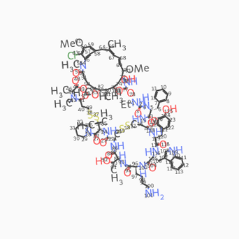 CCNC(=O)N[C@H](Cc1ccccc1)C(=O)N[C@H]1CSSC[C@@H](C(=O)N[C@H](C(=O)N2CCCCC2)C(C)(C)SSCCC(=O)N(C)[C@@H](C)C(=O)O[C@H]2CC(=O)N(C)c3cc(cc(OC)c3Cl)C/C(C)=C/C=C/[C@@H](OC)[C@@]3(O)C[C@H](OC(=O)N3)[C@@H](C)[C@@H]3O[C@@]23C)NC(=O)C([C@@H](C)O)NC(=O)[C@H](CCCCN)NC(=O)[C@@H](Cc2c[nH]c3ccccc23)NC(=O)[C@H](Cc2ccc(O)cc2)NC1=O